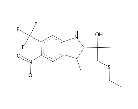 CCSCC(C)(O)C1Nc2cc(C(F)(F)F)c([N+](=O)[O-])cc2C1C